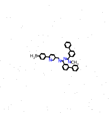 Bc1ccc(C2=NCC(C/N=C(\N=C(/N=C)c3cccc(-c4ccccc4)c3)c3cccc(-c4ccccc4)c3)C=C2)cc1